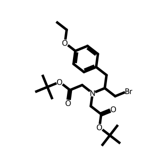 CCOc1ccc(CC(CBr)N(CC(=O)OC(C)(C)C)CC(=O)OC(C)(C)C)cc1